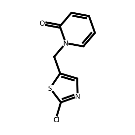 O=c1ccccn1Cc1cnc(Cl)s1